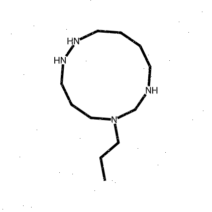 CCCN1CCCNNCCCCNC1